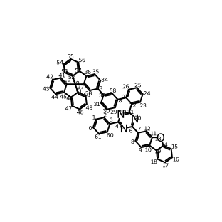 c1ccc(-c2nc(-c3ccc4c(c3)oc3ccccc34)nc(-c3ccccc3-c3cccc(-c4ccc5c(c4)C4(c6ccccc6-c6ccccc64)c4ccccc4-5)c3)n2)cc1